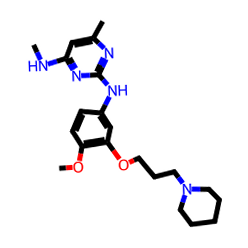 CNc1cc(C)nc(Nc2ccc(OC)c(OCCCN3CCCCC3)c2)n1